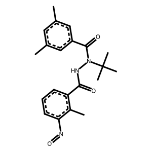 Cc1cc(C)cc(C(=O)N(NC(=O)c2cccc(N=O)c2C)C(C)(C)C)c1